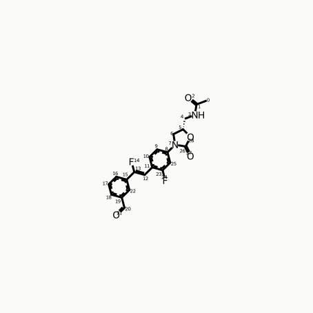 CC(=O)NC[C@H]1CN(c2ccc(/C=C(\F)c3cccc(C=O)c3)c(F)c2)C(=O)O1